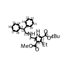 CCc1c(C(=O)OC(C)(C)C)[nH]c(CNCC(c2ccccc2)c2ccccc2)c1C(=O)OC